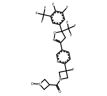 O=C(C1C[S+]([O-])C1)N1CC(F)(c2ccc(C3=NOC(c4cc(F)c(F)c(C(F)(F)F)c4)(C(F)(F)F)C3)cn2)C1